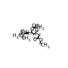 CCOC(=O)C[C@H]1C[C@@H](C#C[Si](C)(C)C)OC(C)(C)O1